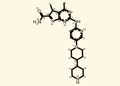 Cc1nc(Nc2ccc(N3CCC(C4CCNCC4)CC3)cn2)nc2c1C(C)C(C(N)=O)=N2